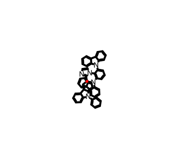 c1ccc(-n2c3ccccc3c3cc(-c4nccn4-c4c(-n5c6ccccc6c6ccccc65)cccc4-n4c5ccccc5c5ccccc54)ccc32)cc1